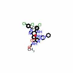 COCCNC(=O)c1cnc(N2CCN(C3CCCCC3)CC2)c(NC(=O)c2[nH]c3cc(Cl)ccc3c2-c2c(-c3ccccc3)ncn2[C@@H](C)c2ccc(Cl)cc2Cl)c1